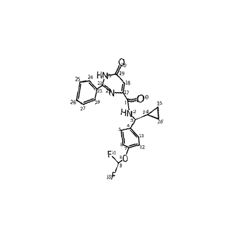 O=C(NC(c1ccc(OC(F)F)cc1)C1CC1)c1cc(=O)[nH]c(-c2ccccc2)n1